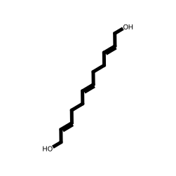 OCC=CCCC=CCCC=CCO